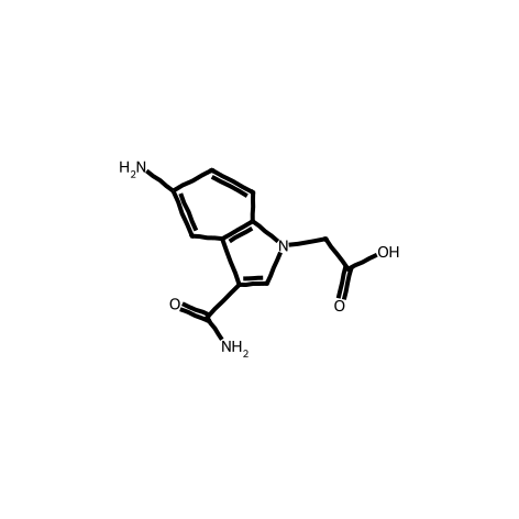 NC(=O)c1cn(CC(=O)O)c2ccc(N)cc12